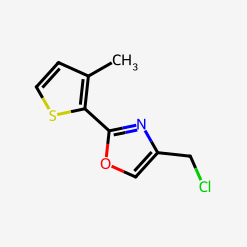 Cc1ccsc1-c1nc(CCl)co1